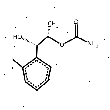 C[C@H](OC(N)=O)[C@@H](O)c1ccccc1I